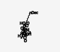 CCCCCCCCCCCCCCCCCC(=O)C(O)C(=O)OCC(=O)[C@@]1(O)CC[C@H]2[C@@H]3CCC4=CC(=O)C=C[C@]4(C)[C@H]3C(O)C[C@@]21C